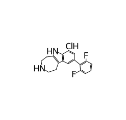 Cl.Fc1cccc(F)c1-c1ccc2[nH]c3c(c2c1)CCNCC3